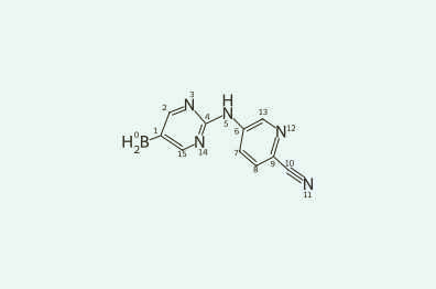 Bc1cnc(Nc2ccc(C#N)nc2)nc1